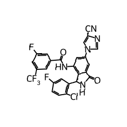 N#Cc1cn(-c2cc(NC(=O)c3cc(F)cc(C(F)(F)F)c3)c3c(c2)C(=O)NC3c2cc(F)ccc2Cl)cn1